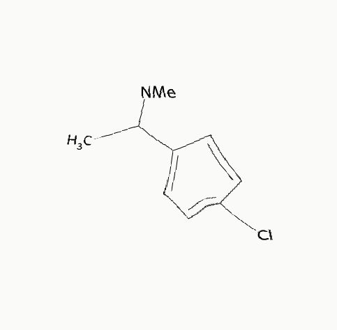 CNC(C)c1ccc(Cl)cc1